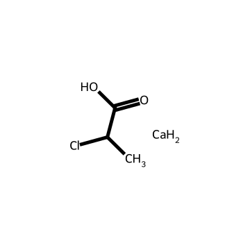 CC(Cl)C(=O)O.[CaH2]